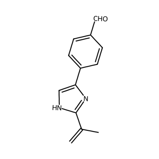 C=C(C)c1nc(-c2ccc(C=O)cc2)c[nH]1